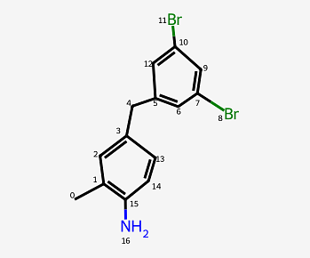 Cc1cc(Cc2cc(Br)cc(Br)c2)ccc1N